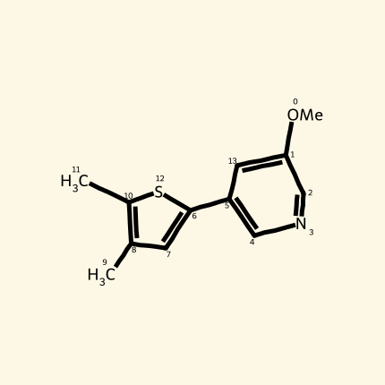 COc1cncc(-c2cc(C)c(C)s2)c1